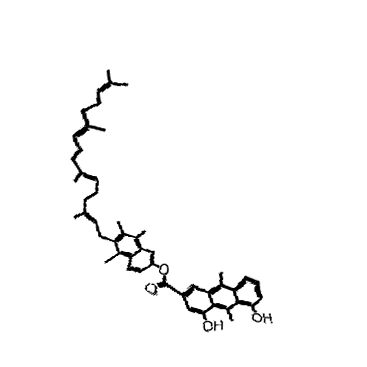 CC(C)=CCC/C(C)=C/CC/C(C)=C/CC/C(C)=C/Cc1c(C)c(C)c2cc(OC(=O)c3cc(O)c4c(C)c5c(O)cccc5c(C)c4c3)ccc2c1C